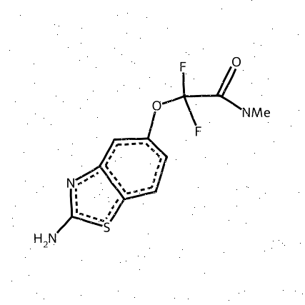 CNC(=O)C(F)(F)Oc1ccc2sc(N)nc2c1